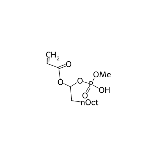 C=CC(=O)OC(CCCCCCCCC)OP(=O)(O)OC